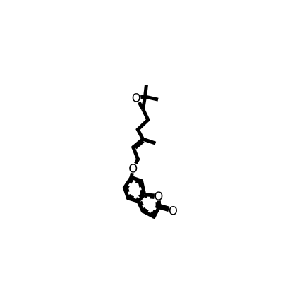 C/C(=C\COc1ccc2ccc(=O)oc2c1)CCC1OC1(C)C